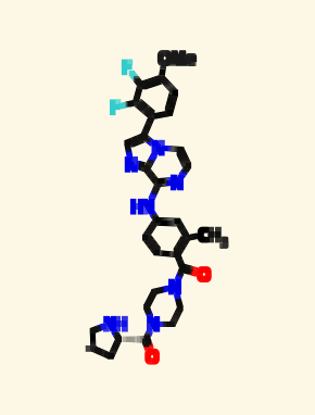 COc1ccc(-c2cnc3c(Nc4ccc(C(=O)N5CCN(C(=O)[C@@H]6C[CH]CN6)CC5)c(C)c4)nccn23)c(F)c1F